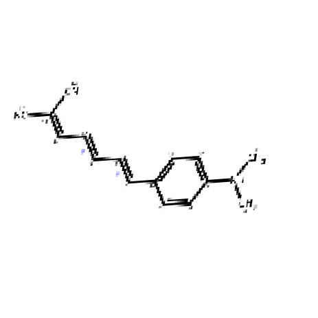 CN(C)c1ccc(/C=C/C=C/C=C(C#N)C#N)cc1